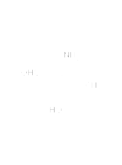 C[C@H](O)[C@@H](N)C=O